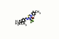 Cc1ccc(N2CS/C(=N\Cc3ccc(C(C)(C)C)cc3)N(CC(F)(F)F)C2=O)cc1